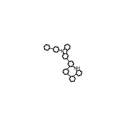 c1ccc(-c2ccc(-n3c4ccccc4c4cc(-c5ccc6c(c5)-c5cccc(c5)-c5ccccc5-c5ccccc5N6)ccc43)cc2)cc1